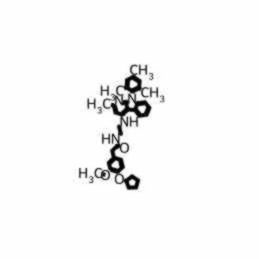 COc1cc(CC(=O)NCCNc2cc(C)nc3c2c2ccccc2n3-c2c(C)cc(C)cc2C)ccc1OC1CCCC1